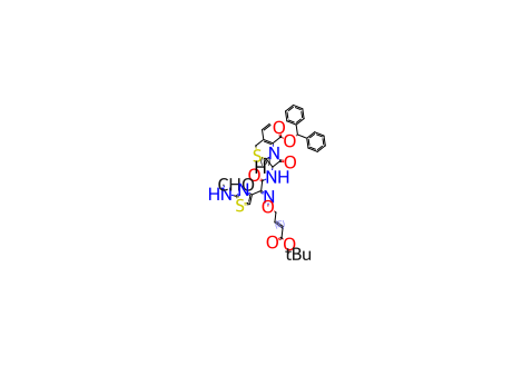 C=CC1=C(C(=O)OC(c2ccccc2)c2ccccc2)N2C(=O)C(NC(=O)C(=NOC/C=C/C(=O)OC(C)(C)C)c3csc(NC=O)n3)[C@@H]2SC1